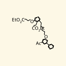 CCOC(=O)CCCOc1cccc(CCCCCCOc2cc(C(C)=O)cc(-c3ccccc3)c2)c1CCC(=O)OCC